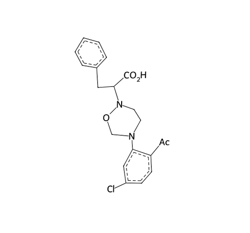 CC(=O)c1ccc(Cl)cc1N1CCN(C(Cc2ccccc2)C(=O)O)OC1